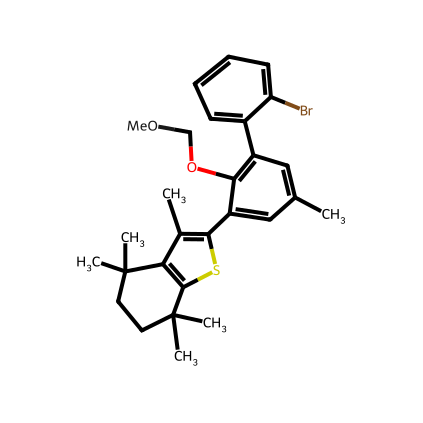 COCOc1c(-c2ccccc2Br)cc(C)cc1-c1sc2c(c1C)C(C)(C)CCC2(C)C